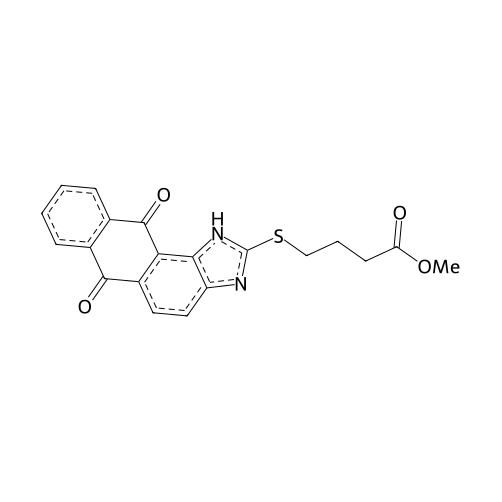 COC(=O)CCCSc1nc2ccc3c(c2[nH]1)C(=O)c1ccccc1C3=O